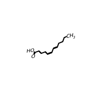 CCCC/C=C/C=C\CCCC(=O)O